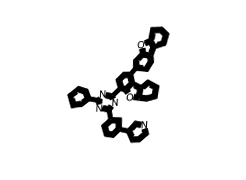 c1ccc(-c2nc(-c3cccc(-c4cccnc4)c3)nc(-c3ccc(-c4ccc5c(c4)oc4ccccc45)c4c3oc3ccccc34)n2)cc1